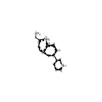 NCc1cc2cc(-c3cccnc3)ccc2[nH]1